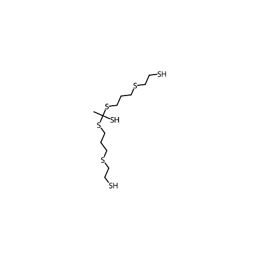 CC(S)(SCCCSCCS)SCCCSCCS